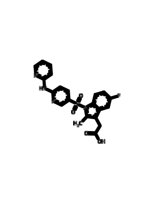 Cc1c(CC(=O)O)c2cc(F)ccc2n1S(=O)(=O)c1ccc(Nc2ccccn2)nc1